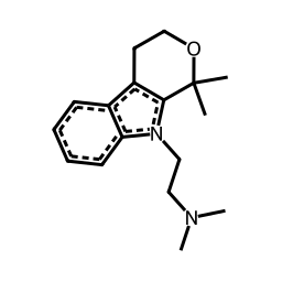 CN(C)CCn1c2c(c3ccccc31)CCOC2(C)C